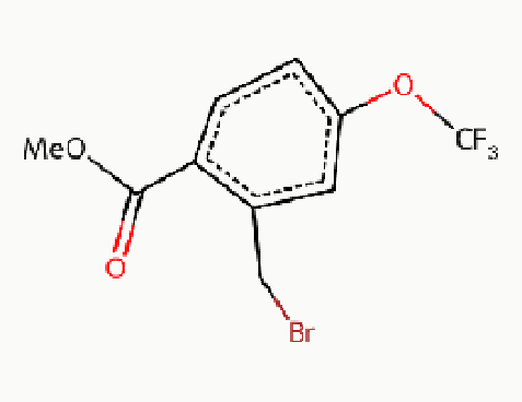 COC(=O)c1ccc(OC(F)(F)F)cc1CBr